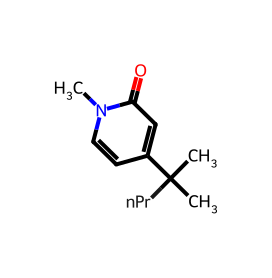 CCCC(C)(C)c1ccn(C)c(=O)c1